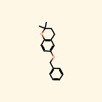 CC1(C)CCc2cc(OCc3ccccc3)ccc2O1